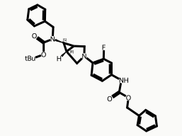 CC(C)(C)OC(=O)N(Cc1ccccc1)[C@H]1C2CN(c3ccc(NC(=O)OCc4ccccc4)cc3F)C[C@@H]21